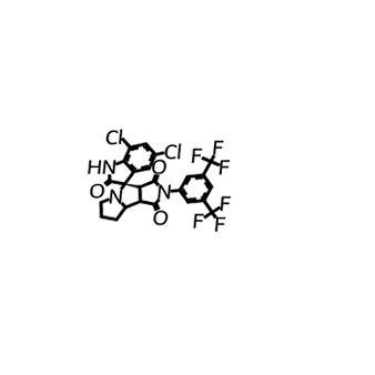 O=C1C2C3CCCN3[C@@]3(C(=O)Nc4c(Cl)cc(Cl)cc43)C2C(=O)N1c1cc(C(F)(F)F)cc(C(F)(F)F)c1